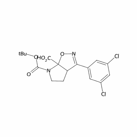 CC(C)(C)OC(=O)N1CCC2C(c3cc(Cl)cc(Cl)c3)=NOC21C(=O)O